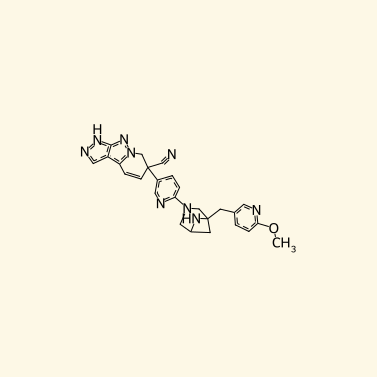 COc1ccc(CC23CC(CN(c4ccc(C5(C#N)C=Cc6c7cn[nH]c7nn6C5)cn4)C2)N3)cn1